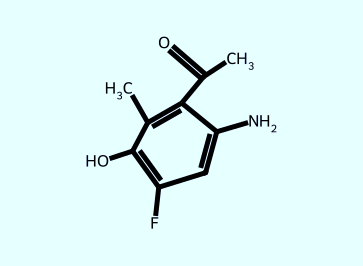 CC(=O)c1c(N)cc(F)c(O)c1C